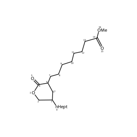 CCCCCCCC1COC(=O)C(CCCCCCCC(=O)OC)C1